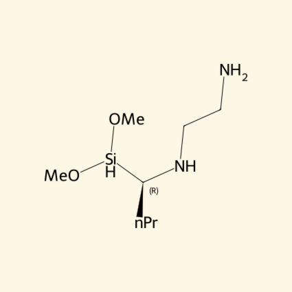 CCC[C@H](NCCN)[SiH](OC)OC